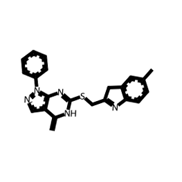 C=C1NC(SCC2=Nc3ccc(C)cc3C2)=Nc2c1cnn2-c1ccccc1